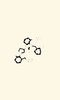 CNCc1cccc(F)c1N1CC[C@@H](n2c(=O)n(Cc3ccccc3C(F)(F)F)c3c(OC)cccc32)C1